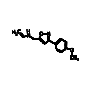 C=CNCc1cc(-c2ccc(OC)cc2)no1